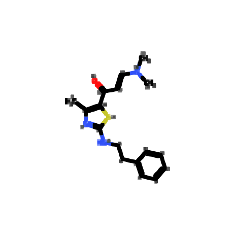 Cc1nc(NCCc2ccccc2)sc1C(=O)C=CN(C)C